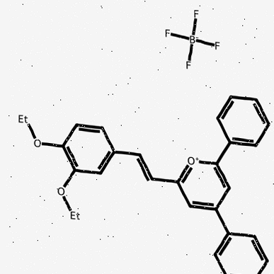 CCOc1ccc(C=Cc2cc(-c3ccccc3)cc(-c3ccccc3)[o+]2)cc1OCC.F[B-](F)(F)F